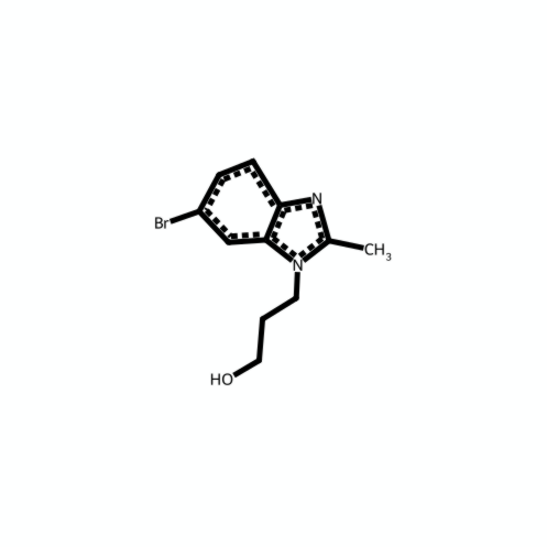 Cc1nc2ccc(Br)cc2n1CCCO